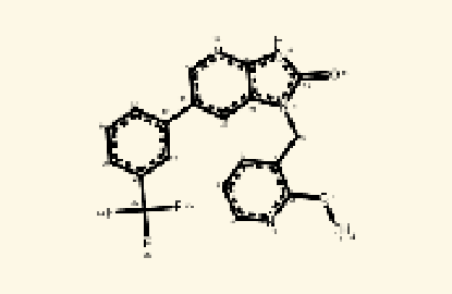 COc1ncccc1Cn1c(=O)[nH]c2ncc(-c3cccc(C(F)(F)F)c3)cc21